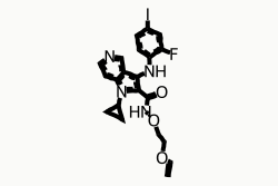 C=COCCONC(=O)c1c(Nc2ccc(I)cc2F)c2cnccc2n1C1CC1